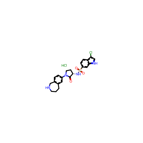 Cl.O=C1[C@@H](NS(=O)(=O)c2ccc3c(Cl)c[nH]c3c2)CCN1c1ccc2c(c1)CCCNC2